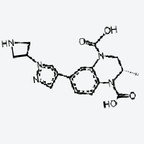 C[C@H]1CN(C(=O)O)c2cc(-c3cnn(C4CNC4)c3)ccc2N1C(=O)O